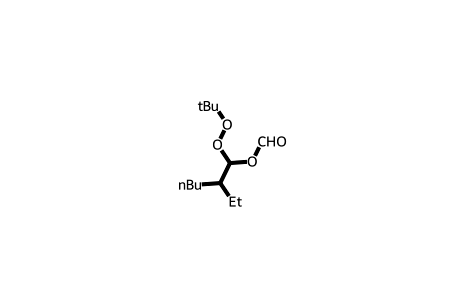 CCCCC(CC)C(OC=O)OOC(C)(C)C